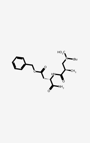 C[C@H](CN(C(=O)O)C(C)(C)C)C(=O)N[C@@H](CC(=O)OCc1ccccc1)C(N)=O